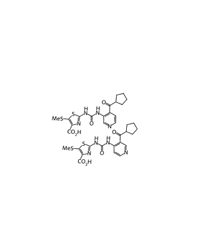 CSc1sc(NC(=O)Nc2ccncc2C(=O)C2CCCC2)nc1C(=O)O.CSc1sc(NC(=O)Nc2cnccc2C(=O)C2CCCC2)nc1C(=O)O